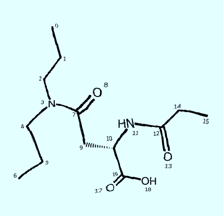 CCCN(CCC)C(=O)C[C@H](NC(=O)CC)C(=O)O